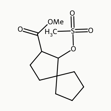 COC(=O)C1CCC2(CCCC2)C1OS(C)(=O)=O